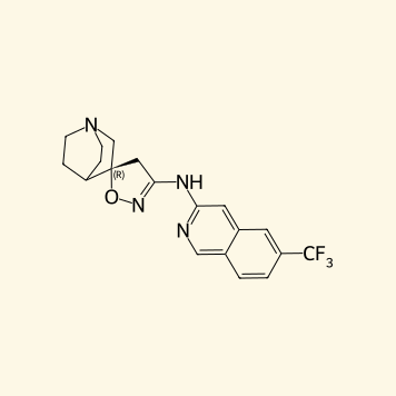 FC(F)(F)c1ccc2cnc(NC3=NO[C@@]4(C3)CN3CCC4CC3)cc2c1